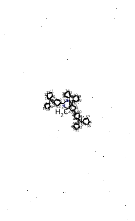 C=C1/C=C(c2ccc(N(c3ccccc3)c3ccccc3)cc2)\C=C/N(c2ccccc2-c2ccccc2)C2=C1C=C(C1=CC=C(N(c3ccccc3)c3ccccc3)CC1)CC2